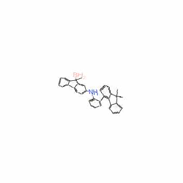 BC1(C)c2ccccc2-c2ccc(Nc3ccccc3-c3cccc4c3-c3ccccc3C4(C)C)cc21